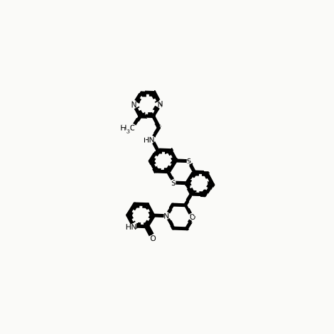 Cc1nccnc1CNc1ccc2c(c1)Sc1cccc(C3CN(c4ccc[nH]c4=O)CCO3)c1S2